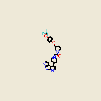 O=C(CN1CCC(c2ccnc3cnc4[nH]ccc4c23)CC1)N1CCCC(COc2ccc(OC(F)(F)F)cc2)C1